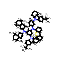 CC(C)(C)c1ccc2c(c1)C1(C)CCCCC1(C)N2c1ccc2c(c1)N(c1cccc3c1sc1ccccc13)c1cc(N3c4ccc(C(C)(C)C)cc4C4(C)CCCCC34C)cc3c1B2c1cc2c(cc1N3c1ccc3c(c1)C(C)(C)CCC3(C)C)C(C)(C)CCC2(C)C